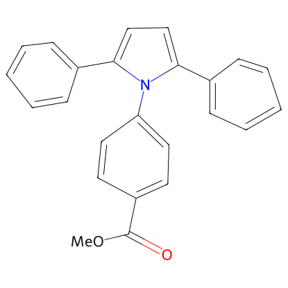 COC(=O)c1ccc(-n2c(-c3ccccc3)ccc2-c2ccccc2)cc1